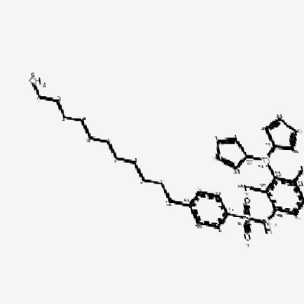 CCCCCCCCCCCCc1ccc(S(=O)(=O)Nc2ccc(F)[c]([Ti]([CH]3C=CC=C3)[CH]3C=CC=C3)c2F)cc1